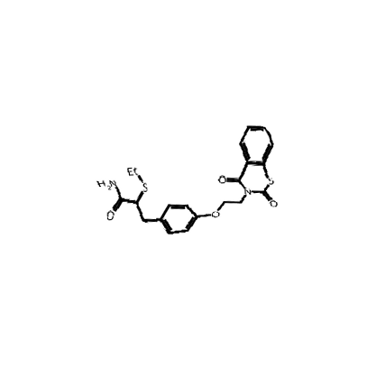 CCSC(Cc1ccc(OCCn2c(=O)sc3ccccc3c2=O)cc1)C(N)=O